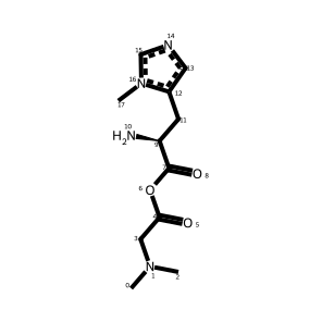 CN(C)CC(=O)OC(=O)[C@@H](N)Cc1cncn1C